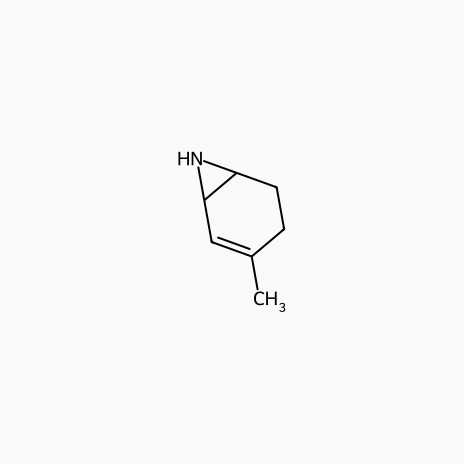 CC1=CC2NC2CC1